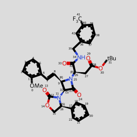 COc1ccccc1C=C[C@@H]1[C@H](N2C(=O)OC[C@@H]2c2ccccc2)C(=O)N1[C@H](CC(=O)OC(C)(C)C)C(=O)NCc1cccc(C(F)(F)F)c1